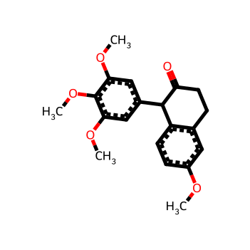 COc1ccc2c(c1)CCC(=O)C2c1cc(OC)c(OC)c(OC)c1